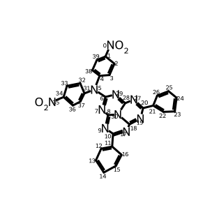 O=[N+]([O-])c1ccc(N(C2=NC3=NC(c4ccccc4)=NC4=NC(c5ccccc5)=NC(=N2)N43)c2ccc([N+](=O)[O-])cc2)cc1